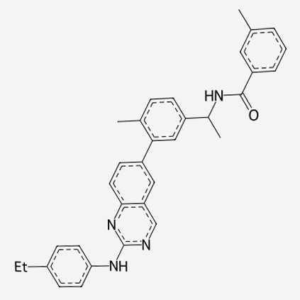 CCc1ccc(Nc2ncc3cc(-c4cc(C(C)NC(=O)c5cccc(C)c5)ccc4C)ccc3n2)cc1